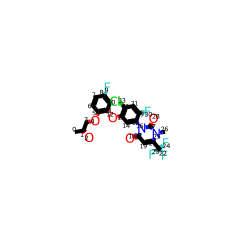 CC(=O)COc1ccc(F)cc1Oc1cc(-n2c(=O)cc(C(F)(F)F)n(C)c2=O)c(F)cc1Cl